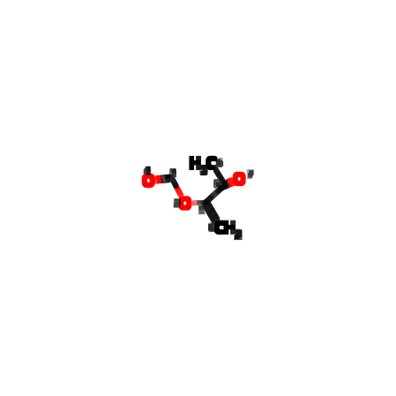 C=C(OC=O)C(C)=O